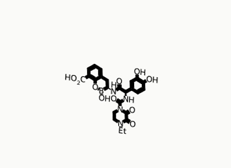 CCN1CCN(C(=O)N[C@@H](C(=O)N[C@H]2Cc3cccc(C(=O)O)c3OB2O)c2ccc(O)c(O)c2)C(=O)C1=O